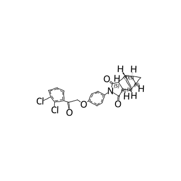 O=C(COc1ccc(N2C(=O)[C@@H]3[C@@H]4C=C[C@@H]([C@H]5C[C@@H]45)[C@@H]3C2=O)cc1)c1cccc(Cl)c1Cl